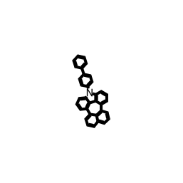 c1ccc(-c2ccc(-n3c4cccc5c4c4c(cccc43)-c3cccc4cccc-5c34)cc2)cc1